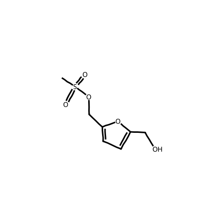 CS(=O)(=O)OCc1ccc(CO)o1